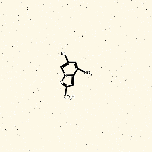 O=C(O)c1cc2c([N+](=O)[O-])cc(Br)cn2n1